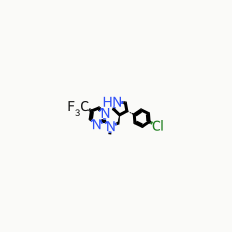 CN(C[C@H]1CNC[C@@H]1c1ccc(Cl)cc1)c1ncc(C(F)(F)F)cn1